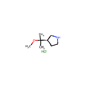 COC(C)(C)[C@@H]1CCNC1.Cl